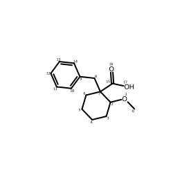 COC1CCCCC1(Cc1ccccc1)C(=O)O